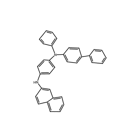 c1ccc(-c2ccc(N(c3ccccc3)c3ccc(Nc4ccc5ccccc5c4)cc3)cc2)cc1